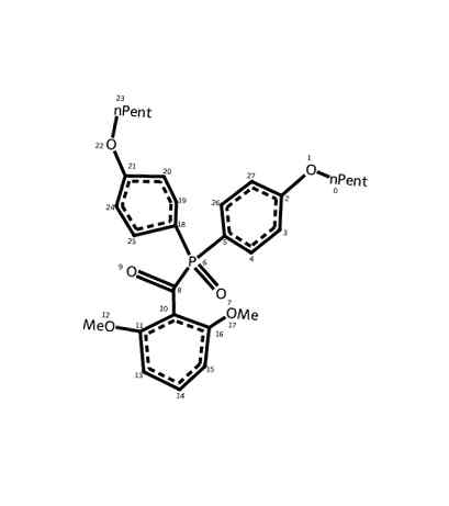 CCCCCOc1ccc(P(=O)(C(=O)c2c(OC)cccc2OC)c2ccc(OCCCCC)cc2)cc1